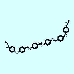 CCOc1ccc(Oc2ccc(C=Nc3ccc([Se][Se]c4ccc(N=Cc5ccc(Oc6ccc(OCC)cc6)cc5)cc4)cc3)cc2)cc1